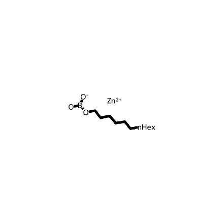 CCCCCCCCCCCCOB([O-])[O-].[Zn+2]